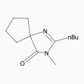 CCCCC1=NC2(CCCC2)C(=O)N1C